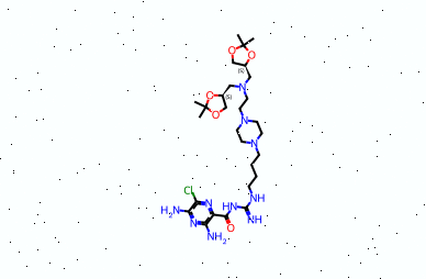 CC1(C)OC[C@H](CN(CCN2CCN(CCCCNC(=N)NC(=O)c3nc(Cl)c(N)nc3N)CC2)C[C@H]2COC(C)(C)O2)O1